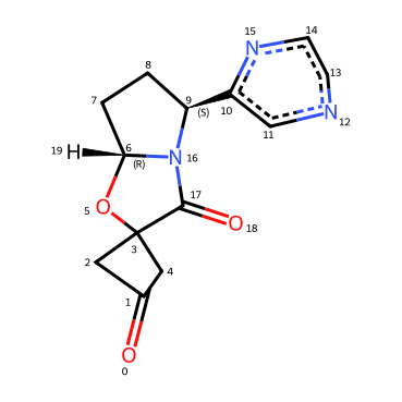 O=C1CC2(C1)O[C@@H]1CC[C@@H](c3cnccn3)N1C2=O